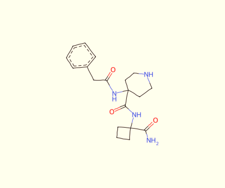 NC(=O)C1(NC(=O)C2(NC(=O)Cc3ccccc3)CCNCC2)CCC1